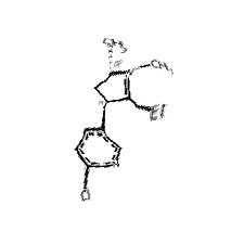 CCC1=[N+](C)[C@@H](C)C[C@@H]1c1ccc(Cl)nc1